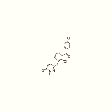 O=C(c1ccc(Cl)cc1)c1cccc(Cc2ccc(=O)[nH]n2)c1Cl